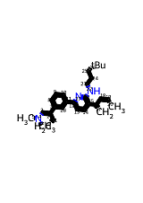 C=C/C(=C\N(C)C)c1cccc(-c2ccc(C(=C)/C=C\C)c(NCCCC(C)(C)C)n2)c1